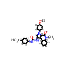 CCOc1ccc(-n2cc(NC(=O)Nc3ccc(C(=O)O)cc3)c3c4ccccc4n(C)c(=O)c32)cc1